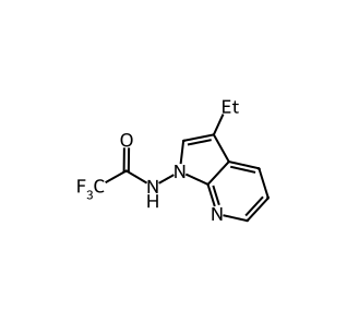 CCc1cn(NC(=O)C(F)(F)F)c2ncccc12